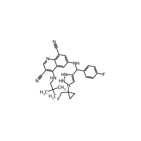 CC(C)(C)CNc1c(C#N)cnc2c(C#N)cc(NC(C3=CN(C4(CF)CC4)NN3)c3ccc(F)cc3)cc12